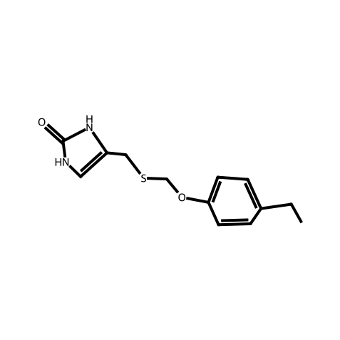 CCc1ccc(OCSCc2c[nH]c(=O)[nH]2)cc1